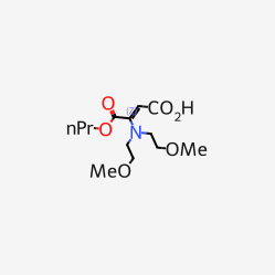 CCCOC(=O)/C(=C/C(=O)O)N(CCOC)CCOC